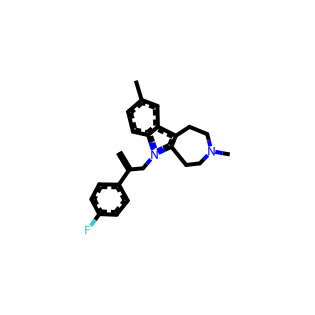 C=C(Cn1c2c(c3cc(C)ccc31)CCN(C)CC2)c1ccc(F)cc1